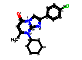 Cc1cc(=O)n2cc(-c3ccc(Cl)cc3)nc2n1C1CCCCC1